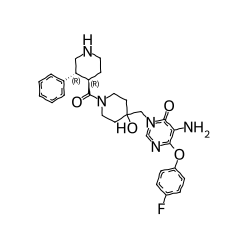 Nc1c(Oc2ccc(F)cc2)ncn(CC2(O)CCN(C(=O)[C@@H]3CCNC[C@H]3c3ccccc3)CC2)c1=O